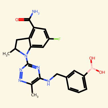 Cc1nnc(N2c3cc(F)cc(C(N)=O)c3CC2C)nc1NCc1cccc(B(O)O)c1